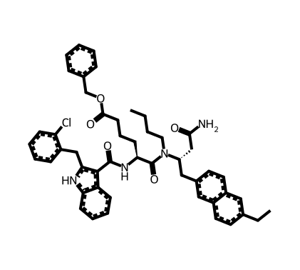 CCCCN(C(=O)[C@H](CCCC(=O)OCc1ccccc1)NC(=O)c1c(Cc2ccccc2Cl)[nH]c2ccccc12)[C@H](CC(N)=O)Cc1ccc2cc(CC)ccc2c1